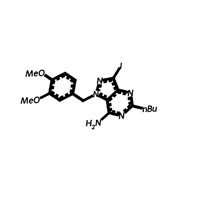 CCCCc1nc(N)c2c(n1)c(I)nn2Cc1ccc(OC)c(OC)c1